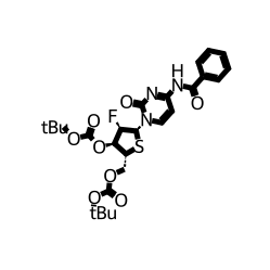 CC(C)(C)OC(=O)OC[C@H]1S[C@@H](n2ccc(NC(=O)c3ccccc3)nc2=O)[C@@H](F)[C@@H]1OC(=O)OC(C)(C)C